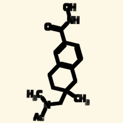 CC(=O)N(C)CC1(C)CCc2cc(C(=O)NO)ccc2C1